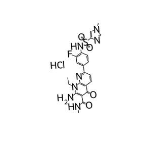 CCn1c(N)c(C(=O)NC)c(=O)c2ccc(-c3ccc(NS(=O)(=O)c4cn(C)cn4)c(F)c3)nc21.Cl